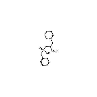 O=C(O)C(Cc1cccnc1)CP(=O)(O)Cc1ccccc1